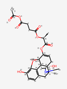 C[C@H](OC(=O)CCC(=O)OC(=O)C(F)(F)F)C(=O)OC1=CC[C@@]2(O)[C@H]3Cc4ccc(O)c5c4[C@@]2(CCN3C)[C@H]1O5